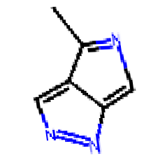 CC1=NC=C2N=NC=C21